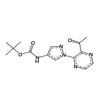 CC(=O)c1nccnc1-n1cc(NC(=O)OC(C)(C)C)cn1